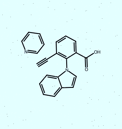 C#Cc1cccc(C(=O)O)c1-n1ccc2ccccc21.c1ccncc1